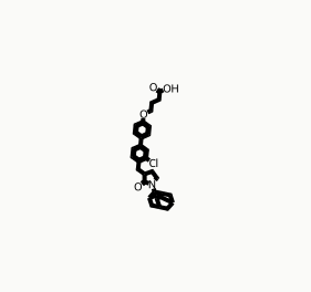 O=C(O)CCCOc1ccc(-c2ccc(CC3CCN(C4C5CC6CC(C5)CC4C6)C3=O)c(Cl)c2)cc1